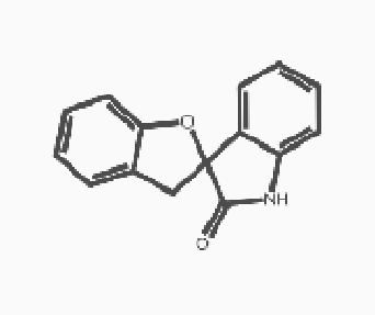 O=C1Nc2ccccc2C12Cc1ccccc1O2